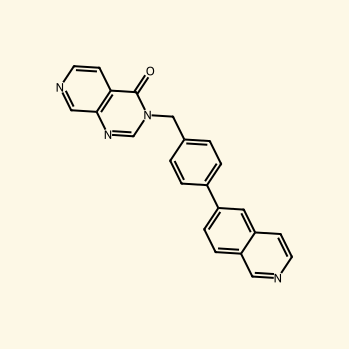 O=c1c2ccncc2ncn1Cc1ccc(-c2ccc3cnccc3c2)cc1